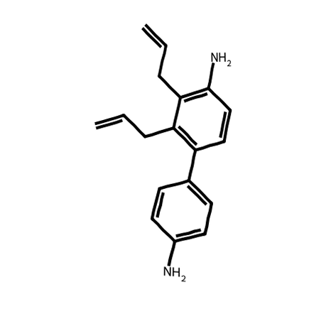 C=CCc1c(N)ccc(-c2ccc(N)cc2)c1CC=C